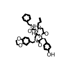 C=CCN1CC(=O)N2[C@@H](Cc3ccc(O)cc3)C(=O)N(Cc3ccc4c(c3)OCCO4)C[C@@H]2N1C(=O)NCc1ccccc1